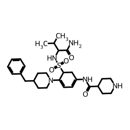 CC(C)C(NS(=O)(=O)C1CC(NC(=O)C2CCNCC2)=CC=C1N1CCC(Cc2ccccc2)CC1)C(N)=O